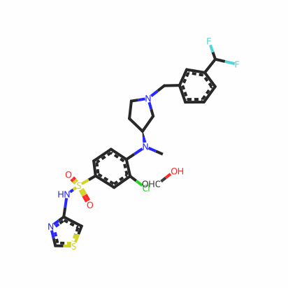 CN(c1ccc(S(=O)(=O)Nc2cscn2)cc1Cl)[C@H]1CCN(Cc2cccc(C(F)F)c2)C1.O=CO